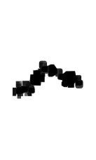 Cc1c(COC2CN(C(=O)N3CC4(CC(n5cnc(C(F)(F)F)n5)C4)C3)C2)ccc(P=O)c1C